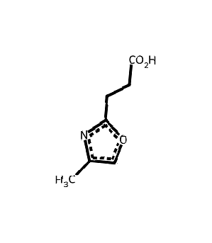 Cc1[c]oc(CCC(=O)O)n1